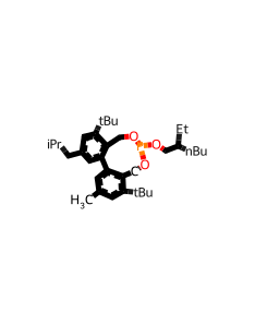 CCCCC(CC)COP1OCc2c(cc(C)cc2C(C)(C)C)-c2cc(CC(C)C)cc(C(C)(C)C)c2CO1